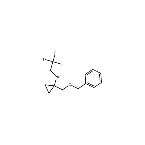 FC(F)(F)CNC1(COCc2ccccc2)CC1